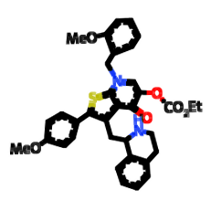 CCOC(=O)Oc1cn(Cc2ccccc2OC)c2sc(-c3ccc(OC)cc3)c(CC3NCCc4ccccc43)c2c1=O